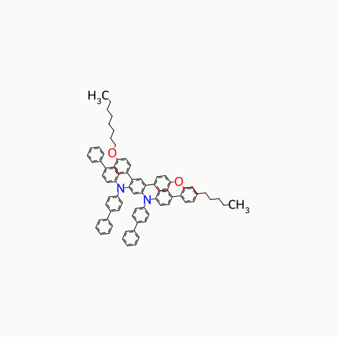 CCCCCCCCOc1ccc(-c2cc(-c3ccc(OCCCCCCCC)cc3)c(N(c3ccc(-c4ccccc4)cc3)c3ccc(-c4ccccc4)cc3)cc2N(c2ccc(-c3ccccc3)cc2)c2ccc(-c3ccccc3)cc2)cc1